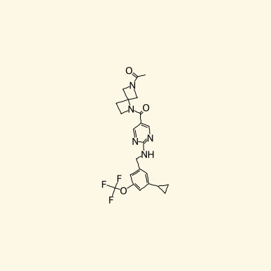 CC(=O)N1CC2(CCN2C(=O)c2cnc(NCc3cc(OC(F)(F)F)cc(C4CC4)c3)nc2)C1